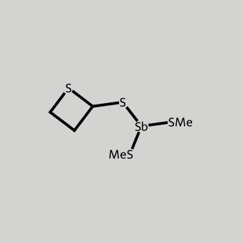 C[S][Sb]([S]C)[S]C1CCS1